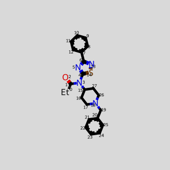 CCC(=O)N(c1nc(-c2ccccc2)ns1)C1CCN(Cc2ccccc2)CC1